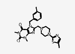 Cc1cccc(Cn2c(CN3CCN(c4ncc(C)s4)CC3)nc3c2c(=O)n(C)c(=O)n3C)c1